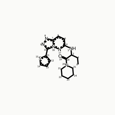 CCC(Nc1ccc2nnc(-c3cccs3)n2n1)C(=O)N1CCCCC1